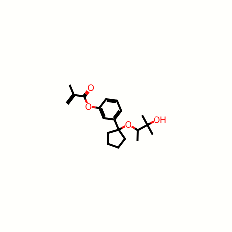 C=C(C)C(=O)Oc1cccc(C2(OC(C)C(C)(C)O)CCCC2)c1